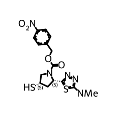 CNc1nnc([C@@H]2C[C@H](S)CN2C(=O)OCc2ccc([N+](=O)[O-])cc2)s1